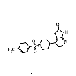 O=C1Cc2c(C3CCN(S(=O)(=O)c4ccc(C(F)(F)F)cc4)CC3)ccnc2N1